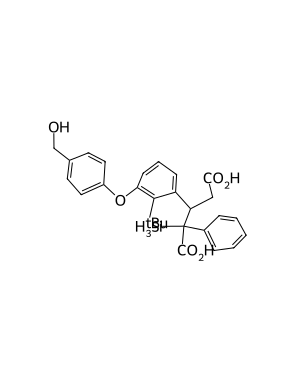 CC(C)(C)c1c(Oc2ccc(CO)cc2)cccc1C(CC(=O)O)C([SiH3])(C(=O)O)c1ccccc1